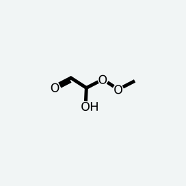 COOC(O)C=O